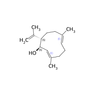 C=C(C)[C@@H]1CC/C(C)=C/CC/C(C)=C/[C@H]1O